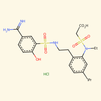 CCN(c1cc(C(C)C)ccc1CCNS(=O)(=O)c1cc(C(=N)N)ccc1O)S(=O)(=O)CC(=O)O.Cl